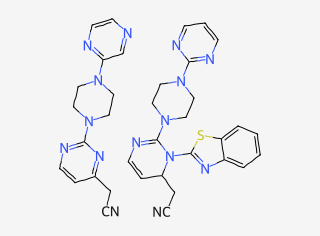 N#CCC1C=CN=C(N2CCN(c3ncccn3)CC2)N1c1nc2ccccc2s1.N#CCc1ccnc(N2CCN(c3cnccn3)CC2)n1